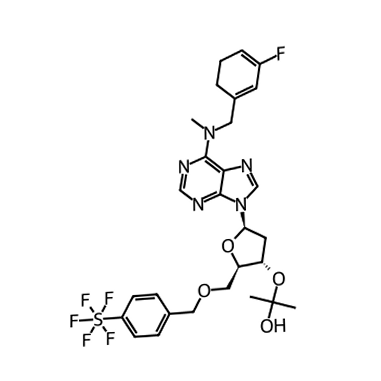 CN(CC1=CC(F)=CCC1)c1ncnc2c1ncn2[C@H]1C[C@H](OC(C)(C)O)[C@@H](COCc2ccc(S(F)(F)(F)(F)F)cc2)O1